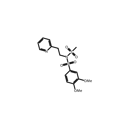 COc1ccc(S(=O)(=O)N(CCc2ccccn2)S(C)(=O)=O)cc1OC